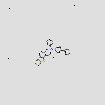 c1ccc(-c2ccc(N(c3ccccc3)c3ccc4c(ccc5c6ccccc6sc45)c3)cc2)cc1